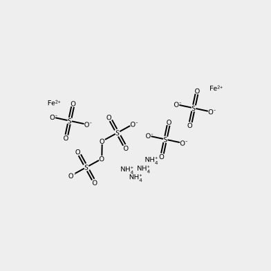 O=S(=O)([O-])OOS(=O)(=O)[O-].O=S(=O)([O-])[O-].O=S(=O)([O-])[O-].O=S(=O)([O-])[O-].[Fe+2].[Fe+2].[NH4+].[NH4+].[NH4+].[NH4+]